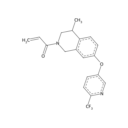 C=CC(=O)N1Cc2cc(Oc3ccc(C(F)(F)F)nc3)ccc2C(C)C1